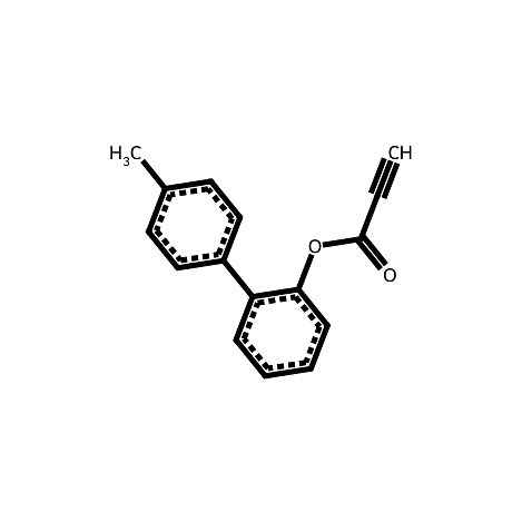 C#CC(=O)Oc1ccccc1-c1ccc(C)cc1